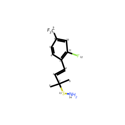 CC(C)(C=Cc1ccc(C(F)(F)F)cc1F)SN